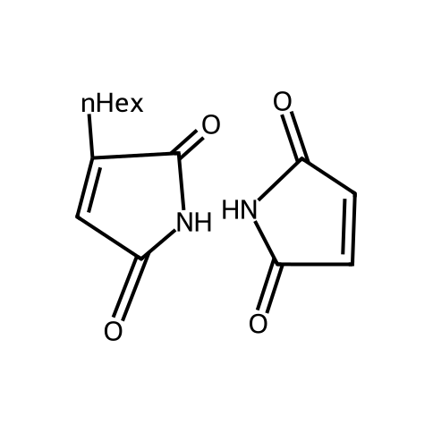 CCCCCCC1=CC(=O)NC1=O.O=C1C=CC(=O)N1